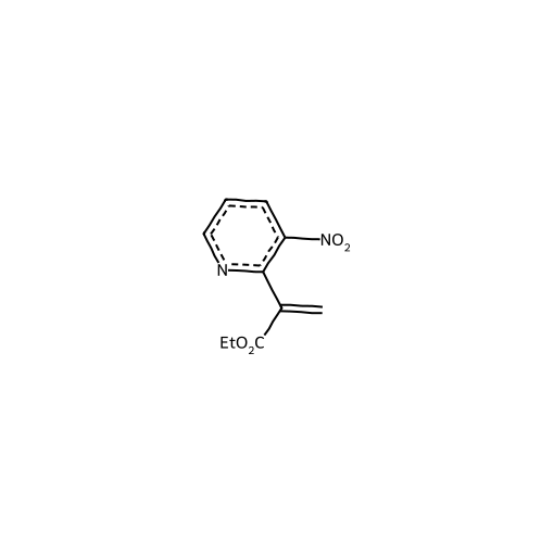 C=C(C(=O)OCC)c1ncccc1[N+](=O)[O-]